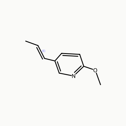 C/C=C/c1ccc(OC)nc1